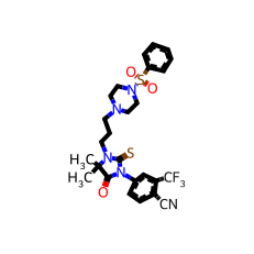 CC1(C)C(=O)N(c2ccc(C#N)c(C(F)(F)F)c2)C(=S)N1CCCN1CCN(S(=O)(=O)c2ccccc2)CC1